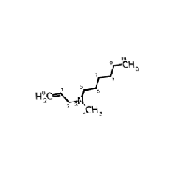 C=CCN(C)CCCCCC